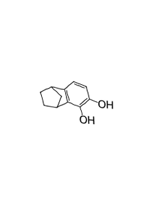 Oc1ccc2c(c1O)C1CCC2C1